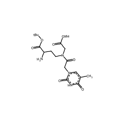 COC(=O)CN(CCC(N)C(=O)OC(C)(C)C)C(=O)Cn1cc(C)c(=O)[nH]c1=O